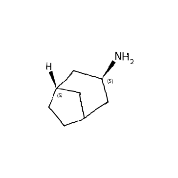 N[C@H]1CC2CC[C@@H](C2)C1